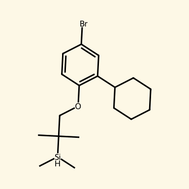 C[SiH](C)C(C)(C)COc1ccc(Br)cc1C1CCCCC1